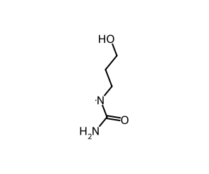 NC(=O)[N]CCCO